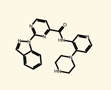 O=C(Nc1cnccc1N1CCNCC1)c1ccnc(-n2ncc3ccccc32)n1